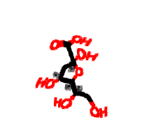 O=C(O)[C@]1(O)C[C@@H](O)[C@H]([C@H](O)CO)O1